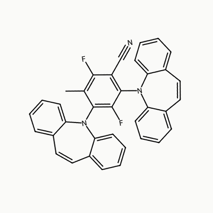 Cc1c(F)c(C#N)c(N2c3ccccc3C=Cc3ccccc32)c(F)c1N1c2ccccc2C=Cc2ccccc21